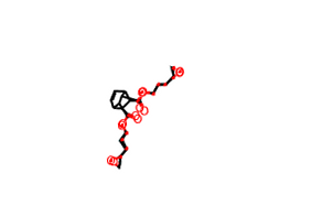 O=C(OCCCC1CO1)C1C2C=CC(C1C(=O)OCCCC1CO1)C(C(=O)OCCCC1CO1)C2C(=O)OCCCC1CO1